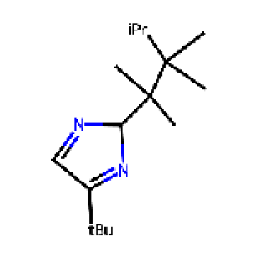 CC(C)C(C)(C)C(C)(C)C1N=CC(C(C)(C)C)=N1